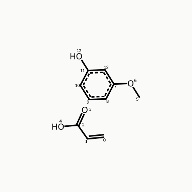 C=CC(=O)O.COc1cccc(O)c1